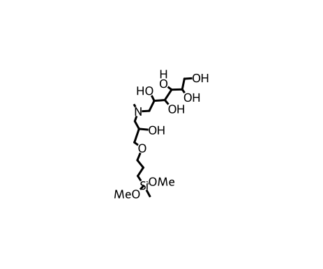 CO[Si](C)(CCCOCC(O)CN(C)CC(O)C(O)C(O)C(O)CO)OC